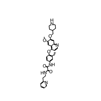 COc1cc2c(Oc3ccc(NC(=O)C(=O)NCCc4ccccn4)cc3F)ccnc2cc1OCC1CCNCC1